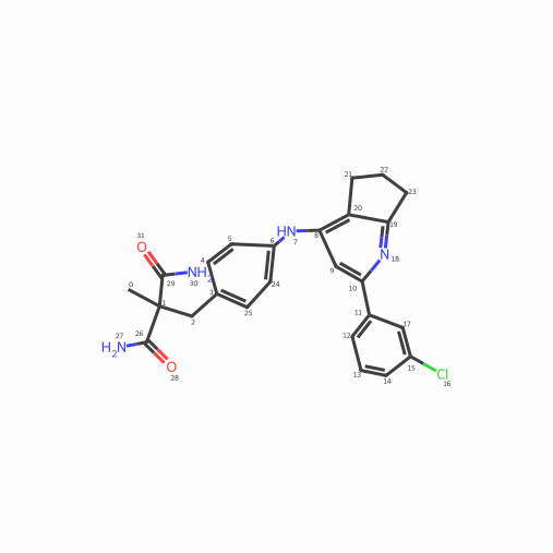 CC(Cc1ccc(Nc2cc(-c3cccc(Cl)c3)nc3c2CCC3)cc1)(C(N)=O)C(N)=O